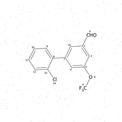 O=Cc1cc(OC(F)(F)F)cc(-c2ccccc2Cl)c1